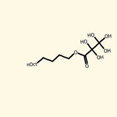 CCCCCCCCCCCCOC(=O)C(O)(O)C(O)(O)O